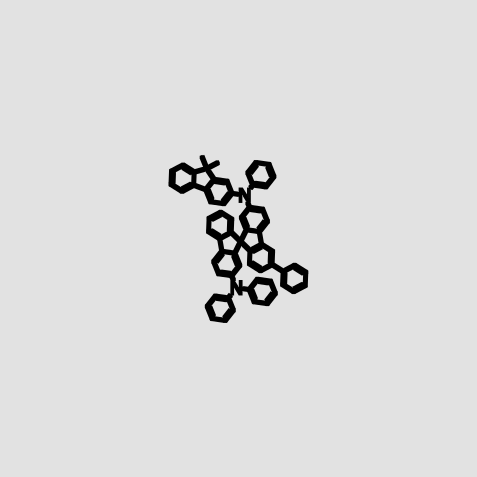 CC1(C)c2ccccc2-c2ccc(N(c3ccccc3)c3ccc4c(c3)C3(c5ccccc5-c5ccc(N(c6ccccc6)c6ccccc6)cc53)c3ccc(-c5ccccc5)cc3-4)cc21